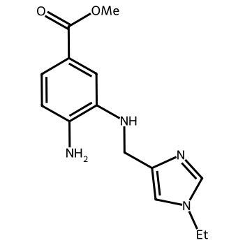 CCn1cnc(CNc2cc(C(=O)OC)ccc2N)c1